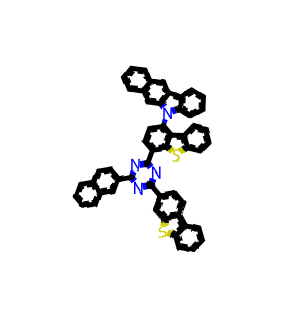 c1ccc2cc(-c3nc(-c4ccc5c(c4)sc4ccccc45)nc(-c4ccc(-n5c6ccccc6c6cc7ccccc7cc65)c5c4sc4ccccc45)n3)ccc2c1